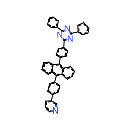 c1ccc(-c2nc(-c3ccccc3)nc(-c3ccc(-c4c5ccccc5c(-c5ccc(-c6cccnc6)cc5)c5ccccc45)cc3)n2)cc1